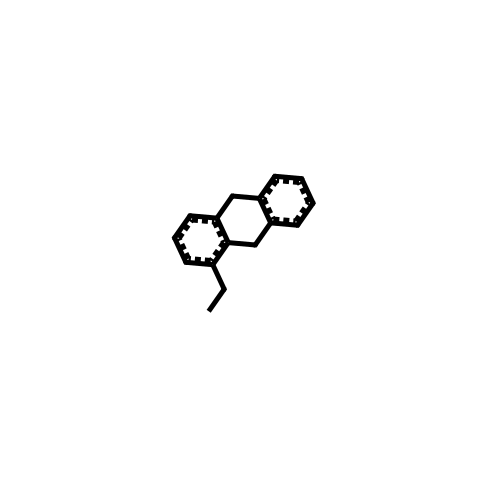 CCc1cccc2c1Cc1ccccc1C2